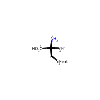 CCCCCCC(N)(CCC)C(=O)O